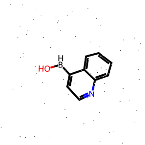 OBc1ccnc2ccccc12